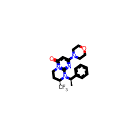 C[C@H](c1ccccc1)N1c2nc(N3CCOCC3)cc(=O)n2CC[C@H]1C(F)(F)F